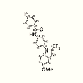 COc1ccc2c(c1)nc(C(F)(F)F)n2-c1ccc(NC(=O)c2ccc(I)cc2)cc1